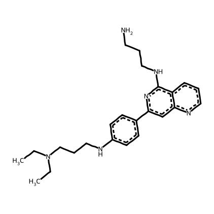 CCN(CC)CCCNc1ccc(-c2cc3ncccc3c(NCCCN)n2)cc1